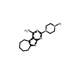 CC(=O)N1CCN(c2nc(N)c3c4c(sc3n2)CCCCC4)CC1